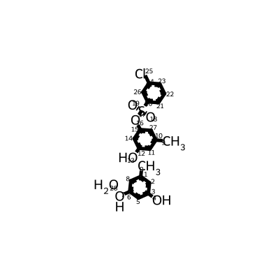 Cc1cc(O)cc(O)c1.Cc1cc(O)cc(OS(=O)(=O)c2cccc(Cl)c2)c1.O